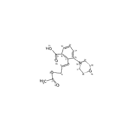 CC(=O)OCC=Cc1c(C(=O)O)cccc1N1CCOCC1